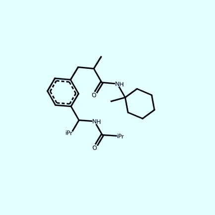 CC(C)C(=O)NC(c1cccc(CC(C)C(=O)NC2(C)CCCCC2)c1)C(C)C